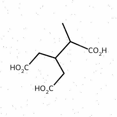 CC(C(=O)O)C(CC(=O)O)CC(=O)O